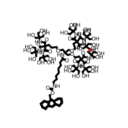 O=C(CCCCCCCNC(=O)OCc1c2ccccc2cc2ccccc12)NC(COCCCC(C(=O)NC(CO)(CO)CO)(C(=O)NC(CO)(CO)CO)C(=O)NC(CO)(CO)CO)(COCCC(C(=O)NC(CO)(CO)CO)(C(=O)NC(CO)(CO)CO)C(=O)NC(CO)(CO)CO)COCCC(C(=O)NC(CO)(CO)CO)(C(=O)NC(CO)(CO)CO)C(=O)NC(CO)(CO)CO